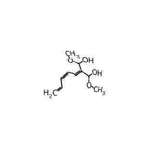 C=C/C=C\C=C(C(O)OC)C(O)OC